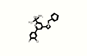 CC(O)(CN)c1cc(C2CCN2Cc2ccccc2)cc(-c2ccc(F)c(Cl)c2)n1